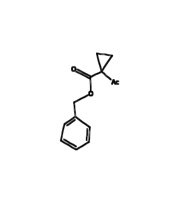 CC(=O)C1(C(=O)OCc2ccccc2)CC1